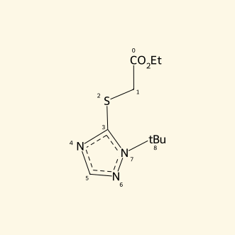 CCOC(=O)CSc1ncnn1C(C)(C)C